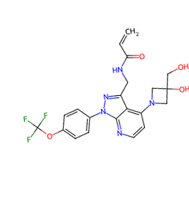 C=CC(=O)NCc1nn(-c2ccc(OC(F)(F)F)cc2)c2nccc(N3CC(O)(CO)C3)c12